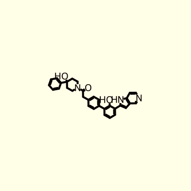 O=C(Cc1ccc(-c2cccc(-c3cc4cnccc4[nH]3)c2O)cc1)N1CCC(O)(c2ccccc2)CC1